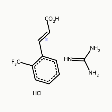 Cl.N=C(N)N.O=C(O)/C=C/c1ccccc1C(F)(F)F